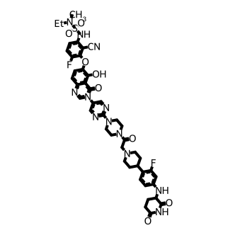 CCN(C)S(=O)(=O)Nc1ccc(F)c(Oc2ccc3ncn(-c4cnc(N5CCN(C(=O)CN6CCC(c7ccc(NC8CCC(=O)NC8=O)cc7F)CC6)CC5)nc4)c(=O)c3c2O)c1C#N